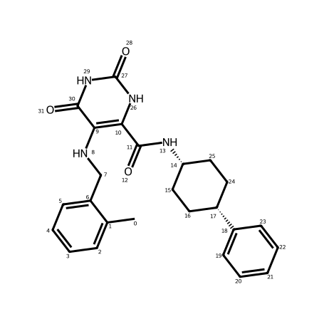 Cc1ccccc1CNc1c(C(=O)N[C@H]2CC[C@@H](c3ccccc3)CC2)[nH]c(=O)[nH]c1=O